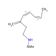 C=C(/C=C\C=C/C)CCNNC